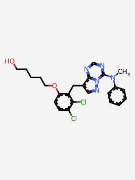 CN(c1ccccc1)c1ncnc2c(Cc3c(OCCCCCO)ccc(Cl)c3Cl)cnn12